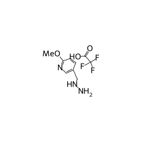 COc1ccc(CNN)cn1.O=C(O)C(F)(F)F